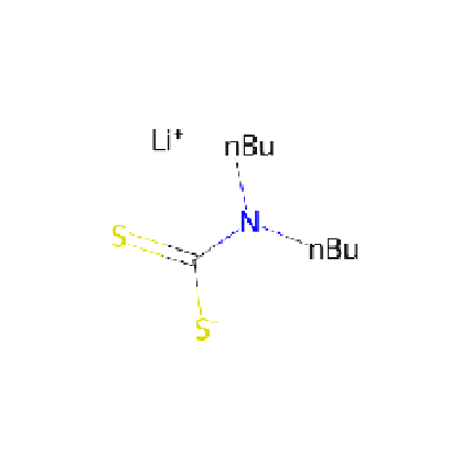 CCCCN(CCCC)C(=S)[S-].[Li+]